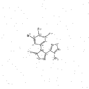 Nc1nonc1-c1noc(=O)n1-c1cc(F)c(F)c(Br)c1